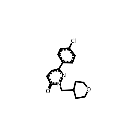 O=c1ccc(-c2ccc(Cl)cc2)nn1CC1CCOCC1